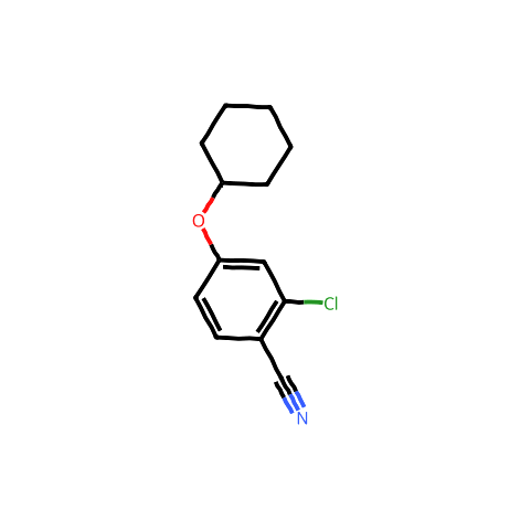 N#Cc1ccc(O[C]2CCCCC2)cc1Cl